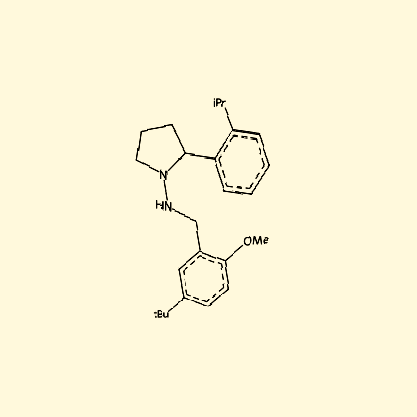 COc1ccc(C(C)(C)C)cc1CNN1CCCC1c1ccccc1C(C)C